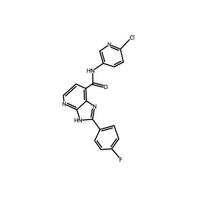 O=C(Nc1ccc(Cl)nc1)c1ccnc2[nH]c(-c3ccc(F)cc3)nc12